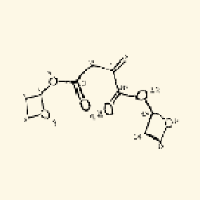 C=C(CC(=O)OC1CCO1)C(=O)OC1CCO1